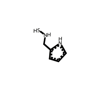 SNCc1ccc[nH]1